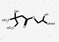 CCCCCC(CCC)COC(=O)CC(O)(CC(=O)O)C(=O)O